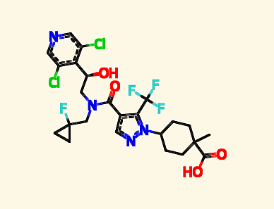 CC1(C(=O)O)CCC(n2ncc(C(=O)N(C[C@H](O)c3c(Cl)cncc3Cl)CC3(F)CC3)c2C(F)(F)F)CC1